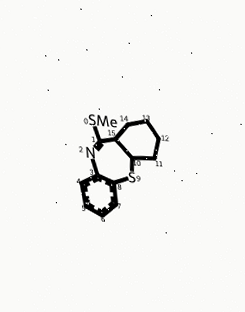 CSC1=Nc2ccccc2SC2CCCCC12